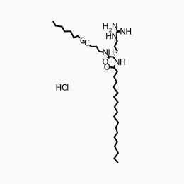 CCCCCCCCCCCCCCCCCCCC(=O)N[C@@H](CCCNC(=N)N)C(=O)NCCCCCCCCCCCC.Cl